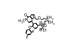 CCS(=O)(=O)Nc1ccc(Oc2ccc(F)cc2F)c(-c2cn(C)c(=O)c3ccn(COCC[Si](C)(C)C)c23)c1